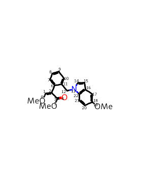 COC=C(C(=O)OC)c1ccccc1Cn1ccc2cc(OC)ccc21